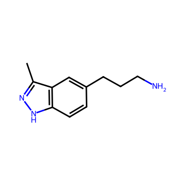 Cc1n[nH]c2ccc(CCCN)cc12